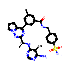 Cc1cc(C(=O)NCc2ccc(S(N)(=O)=O)cc2)cc(-c2nc([C@H](C)Nc3ncnc(N)c3C#N)nn3cccc23)c1